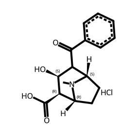 CN1[C@@H]2CC[C@H]1C(C(=O)c1ccccc1)[C@H](O)[C@@H]2C(=O)O.Cl